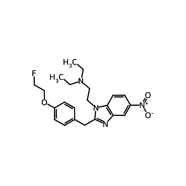 CCN(CC)CCn1c(Cc2ccc(OCCF)cc2)nc2cc([N+](=O)[O-])ccc21